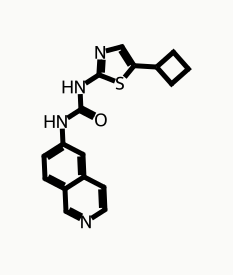 O=C(Nc1ccc2cnccc2c1)Nc1ncc(C2CCC2)s1